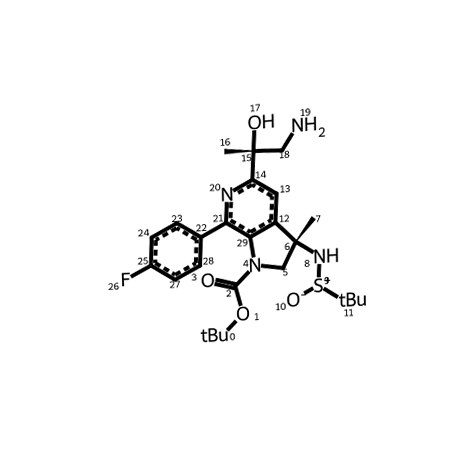 CC(C)(C)OC(=O)N1C[C@@](C)(N[S+]([O-])C(C)(C)C)c2cc([C@](C)(O)CN)nc(-c3ccc(F)cc3)c21